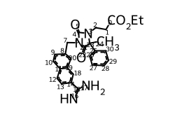 CCOC(=O)CCN1C(=O)N(Cc2ccc3ccc(C(=N)N)cc3c2)C(=O)C1(C)c1ccccc1